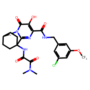 CN(C)C(=O)C(=O)NC12CCC(CC1)Cn1c2nc(C(=O)NCc2cc(Cl)cc(OC(F)(F)F)c2)c(O)c1=O